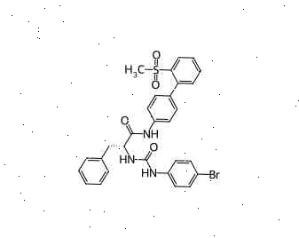 CS(=O)(=O)c1ccccc1-c1ccc(NC(=O)[C@@H](Cc2ccccc2)NC(=O)Nc2ccc(Br)cc2)cc1